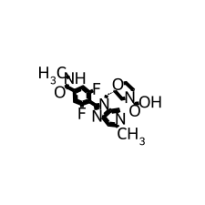 CNC(=O)c1cc(F)c(-c2nc3cc(C)ncc3n2C[C@H]2CN(C(=O)O)CCO2)c(F)c1